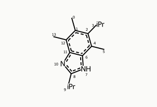 Cc1c(C(C)C)c(C)c2[nH]c(C(C)C)nc2c1C